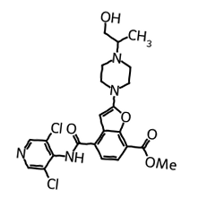 COC(=O)c1ccc(C(=O)Nc2c(Cl)cncc2Cl)c2cc(N3CCN(C(C)CO)CC3)oc12